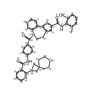 O=C(Nc1c(F)cccc1Cl)c1cc2c(s1)-c1ccncc1N(C(=O)c1ccc(NC(=O)c3cccnc3N3CC4(CCOCC4)C3)cc1)CC2